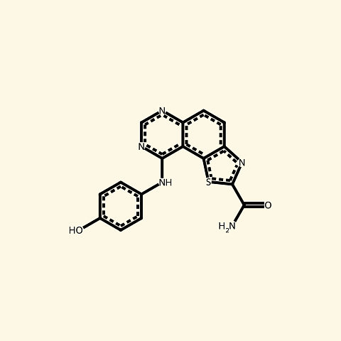 NC(=O)c1nc2ccc3ncnc(Nc4ccc(O)cc4)c3c2s1